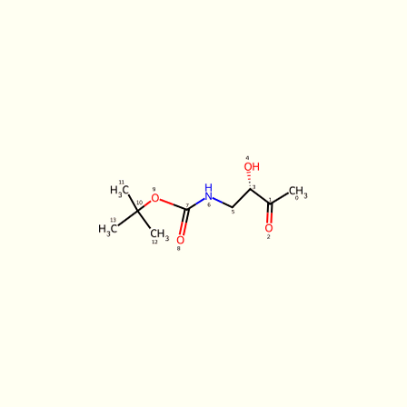 CC(=O)[C@@H](O)CNC(=O)OC(C)(C)C